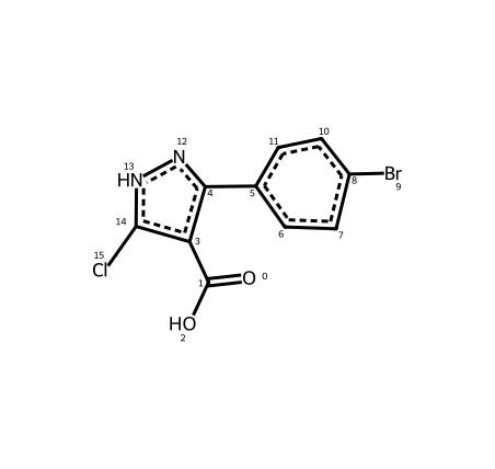 O=C(O)c1c(-c2ccc(Br)cc2)n[nH]c1Cl